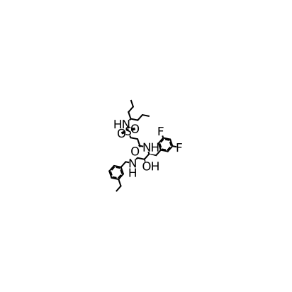 CCCC(CCC)NS(=O)(=O)CCC(=O)N[C@@H](Cc1cc(F)cc(F)c1)[C@@H](O)CNCc1cccc(CC)c1